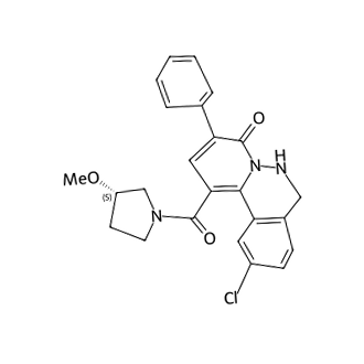 CO[C@H]1CCN(C(=O)c2cc(-c3ccccc3)c(=O)n3c2-c2cc(Cl)ccc2CN3)C1